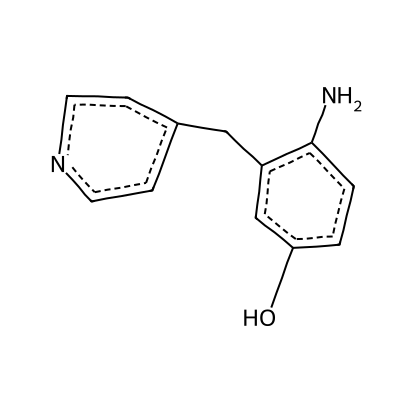 Nc1ccc(O)cc1Cc1ccncc1